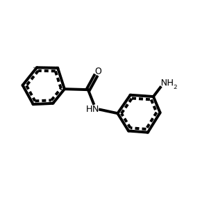 Nc1cccc(NC(=O)c2c[c]ccc2)c1